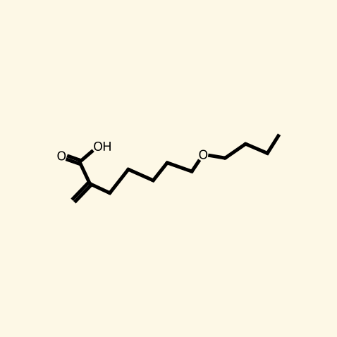 C=C(CCCCCOCCCC)C(=O)O